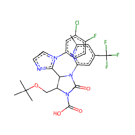 Cc1cc(C(F)(F)F)cc(N2C(=O)N(C(=O)O)C(COC(C)(C)C)C2c2nccn2-c2ccc(F)c(Cl)c2)n1